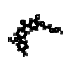 CC1(c2ccc(F)cc2)CCN(C(=O)c2ccc(OCCOC(F)(F)F)c(Cl)c2)CC1